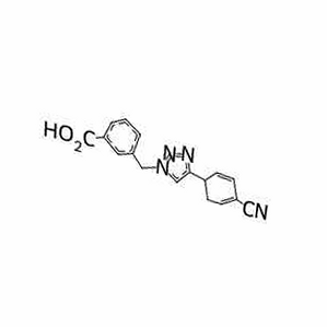 N#CC1=CCC(c2cn(Cc3cccc(C(=O)O)c3)nn2)C=C1